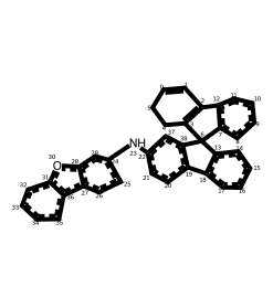 C1=CC2=C(CC1)C1(c3ccccc32)c2ccccc2-c2ccc(Nc3ccc4c(c3)oc3ccccc34)cc21